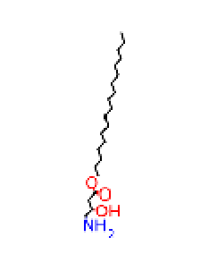 CCCCCCCCCCCCCCCCCCOC(=O)CC(O)CN